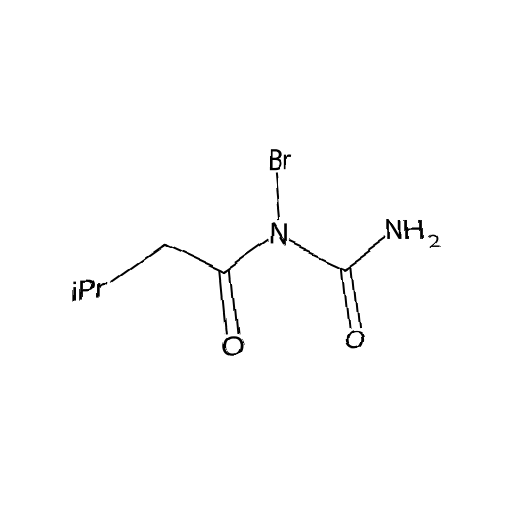 CC(C)CC(=O)N(Br)C(N)=O